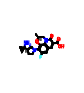 C[C@H]1Cn2c(=O)c(C(=O)O)cc3cc(F)c(N4CC[C@@H](C5(N)CC5)C4)c(c32)O1